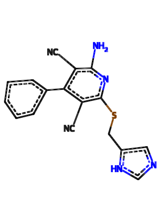 N#Cc1c(N)nc(SCc2cnc[nH]2)c(C#N)c1-c1ccccc1